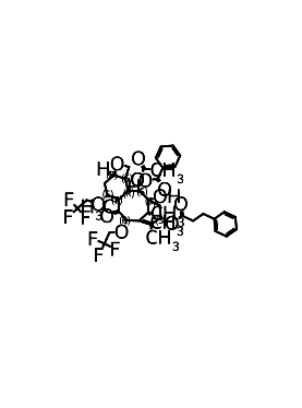 CC(=O)O[C@@]12CO[C@@H]1C[C@H](OCC(F)(F)F)[C@@]1(C)C(=O)[C@H](OCC(F)(F)F)C3=C(C)[C@@H](OC(=O)CCc4ccccc4)C[C@@](O)([C@@H](OC(=O)c4ccccc4)[C@H]21)C3(C)C